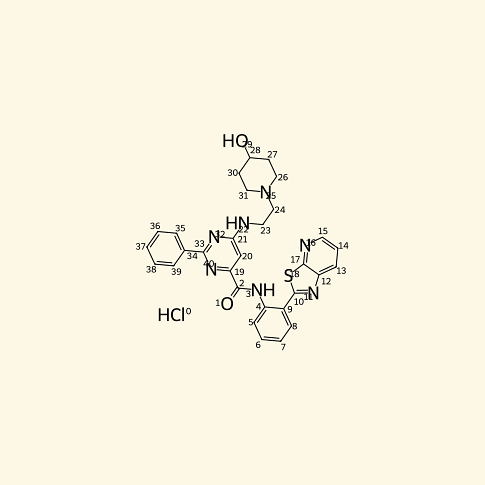 Cl.O=C(Nc1ccccc1-c1nc2cccnc2s1)c1cc(NCCN2CCC(O)CC2)nc(-c2ccccc2)n1